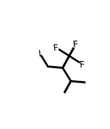 CC(C)C(CI)C(F)(F)F